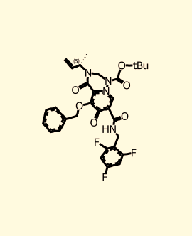 C=C[C@H](C)N1CN(C(=O)OC(C)(C)C)n2cc(C(=O)NCc3c(F)cc(F)cc3F)c(=O)c(OCc3ccccc3)c2C1=O